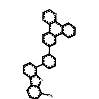 Cc1cccc2c1oc1c(-c3cccc(-c4ccc5c(c4)c4ccccc4c4nccnc54)c3)cccc12